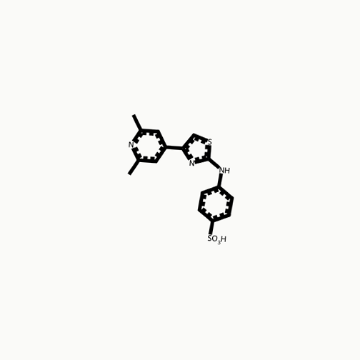 Cc1cc(-c2csc(Nc3ccc(S(=O)(=O)O)cc3)n2)cc(C)n1